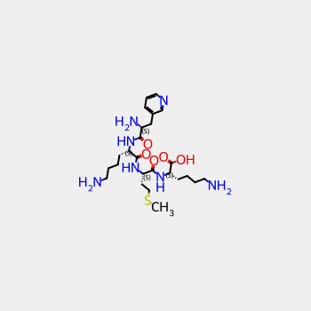 CSCC[C@H](NC(=O)[C@H](CCCCN)NC(=O)[C@@H](N)Cc1cccnc1)C(=O)N[C@@H](CCCCN)C(=O)O